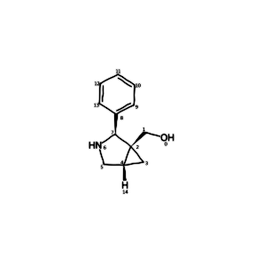 OC[C@@]12C[C@@H]1CN[C@H]2c1ccccc1